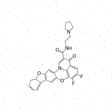 O=C(NCCN1CCCC1)c1cn2c3c(c(F)c(F)cc3c1=O)Oc1cc3c(cc1-2)OC1CC=CC=C31